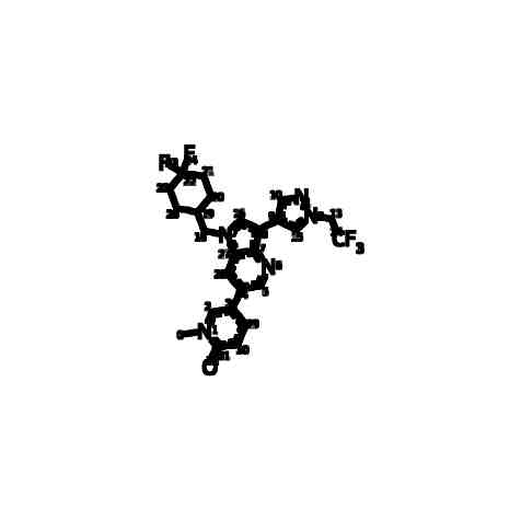 Cn1cc(-c2cnc3c(-c4cnn(CC(F)(F)F)c4)cn(CC4CCC(F)(F)CC4)c3c2)ccc1=O